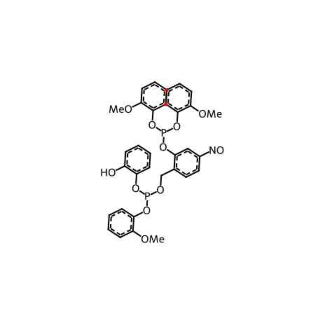 COc1ccccc1OP(OCc1ccc(N=O)cc1OP(Oc1ccccc1OC)Oc1ccccc1OC)Oc1ccccc1O